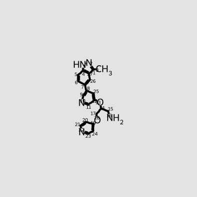 Cc1n[nH]c2ccc(-c3cncc(OC(CN)COc4ccncc4)c3)cc12